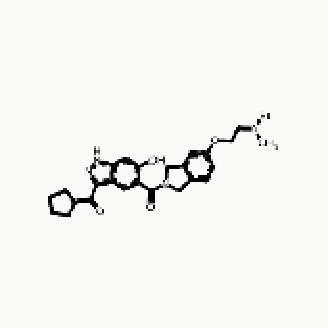 CCN(C)CCOc1ccc2c(c1)CN(C(=O)c1cc3c(C(=O)C4CCCC4)n[nH]c3cc1O)C2